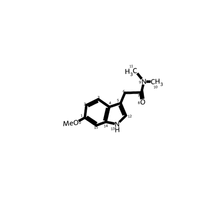 COc1ccc2c(CC(=O)N(C)C)c[nH]c2c1